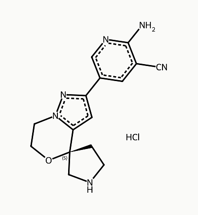 Cl.N#Cc1cc(-c2cc3n(n2)CCO[C@]32CCNC2)cnc1N